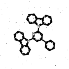 c1ccc(-c2cc(-n3c4ccccc4c4ccccc43)nc(-n3c4ccccc4c4ccccc43)c2)cc1